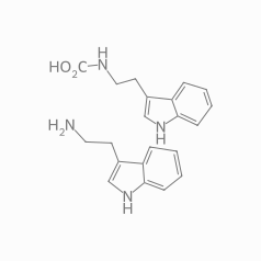 NCCc1c[nH]c2ccccc12.O=C(O)NCCc1c[nH]c2ccccc12